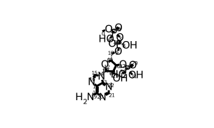 COP(=O)(O)OP(=O)(O)OC[C@H]1O[C@@H](n2cnc3c(N)ncnc32)[C@@H](O)C1OP(=O)(O)O